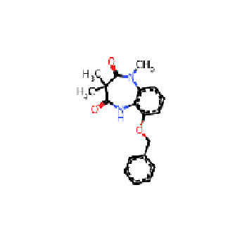 CN1C(=O)C(C)(C)C(=O)Nc2c(OCc3ccccc3)cccc21